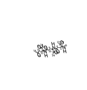 CNC(CCC(=O)NC(CCC(=O)NC(CCC(C)=O)C(=O)I)C(C)=O)C(C)=O